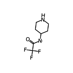 O=C([N]C1CCNCC1)C(F)(F)F